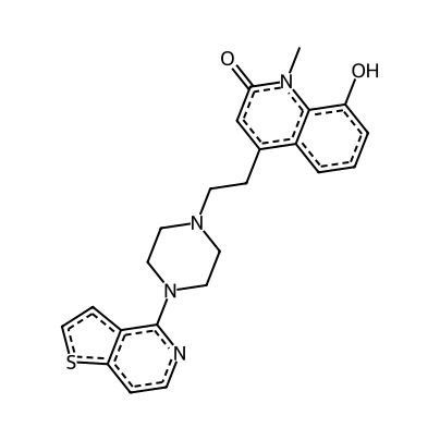 Cn1c(=O)cc(CCN2CCN(c3nccc4sccc34)CC2)c2cccc(O)c21